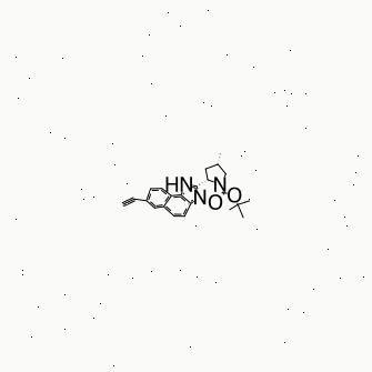 C#Cc1ccc2c(ccc3nc([C@@H]4C[C@H](C)CN4C(=O)OC(C)(C)C)[nH]c32)c1